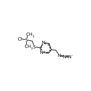 CS(C)(Cl)CSc1ncc(CN=[N+]=[N-])cn1